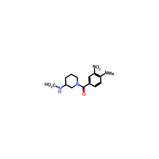 CNc1ccc(C(=O)N2CCCC(NC(=O)O)C2)cc1[N+](=O)[O-]